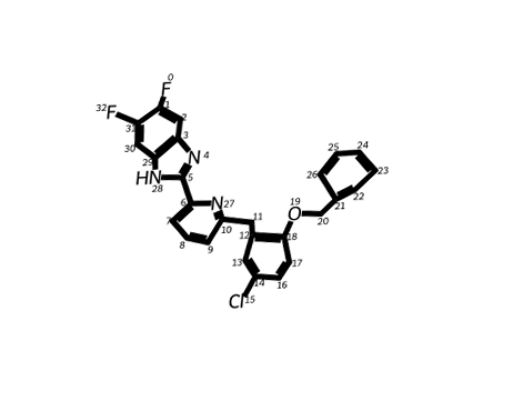 Fc1cc2nc(-c3cccc(Cc4cc(Cl)ccc4OCc4ccccc4)n3)[nH]c2cc1F